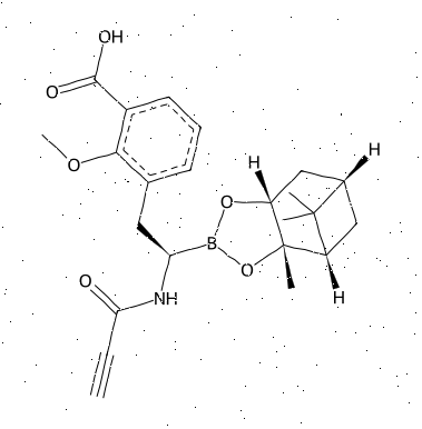 C#CC(=O)N[C@@H](Cc1cccc(C(=O)O)c1OC)B1O[C@@H]2C[C@@H]3C[C@@H](C3(C)C)[C@]2(C)O1